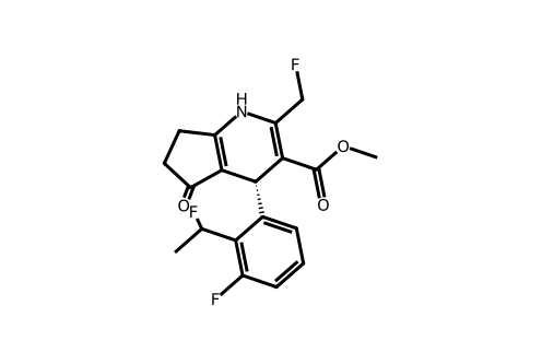 COC(=O)C1=C(CF)NC2=C(C(=O)CC2)[C@H]1c1cccc(F)c1C(C)F